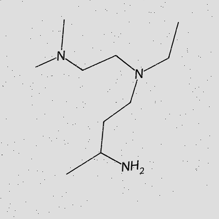 CCN(CCC(C)N)CCN(C)C